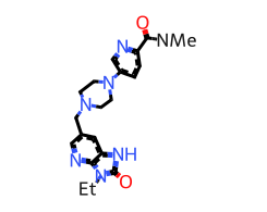 CCn1c(=O)[nH]c2cc(CN3CCN(c4ccc(C(=O)NC)nc4)CC3)cnc21